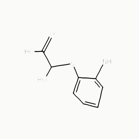 Nc1ccccc1SC(O)C(=O)O